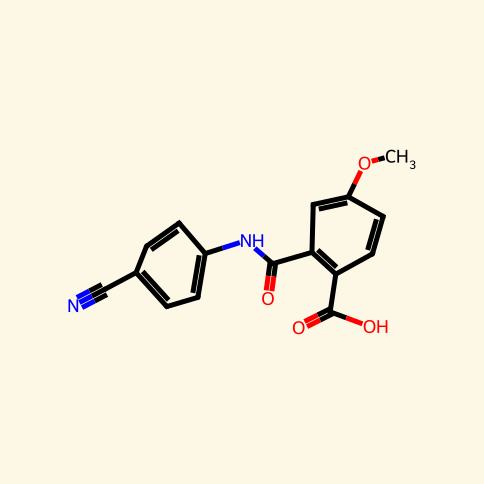 COc1ccc(C(=O)O)c(C(=O)Nc2ccc(C#N)cc2)c1